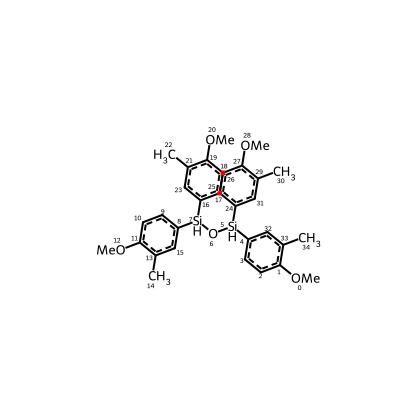 COc1ccc([SiH](O[SiH](c2ccc(OC)c(C)c2)c2ccc(OC)c(C)c2)c2ccc(OC)c(C)c2)cc1C